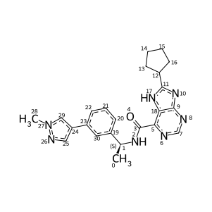 C[C@H](NC(=O)c1ncnc2nc(C3CCCC3)[nH]c12)c1cccc(-c2cnn(C)c2)c1